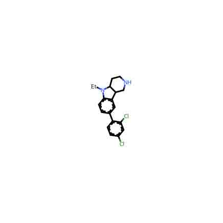 CCN1c2ccc(-c3ccc(Cl)cc3Cl)cc2C2CNCCC21